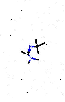 C/C(=N/C(C)(C)C)N(C)C